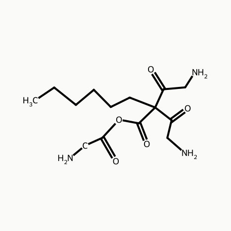 CCCCCCC(C(=O)CN)(C(=O)CN)C(=O)OC(=O)CN